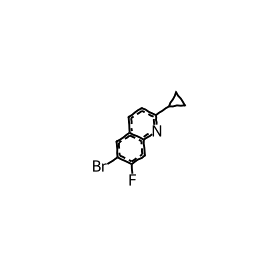 Fc1cc2nc(C3CC3)ccc2cc1Br